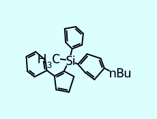 CCCCc1ccc([Si](C)(C2=C(c3ccccc3)C=CC2)c2ccccc2)cc1